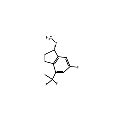 CO[C@@H]1CCc2c1cc(F)cc2C(F)(F)F